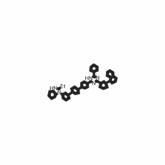 CCC1Nc2ccccc2N1c1cccc(-c2ccc(-c3ccc(C4N=C(c5cccc(-c6cccc7ccccc67)c5)N=C(c5ccccc5)N4)cc3)cc2)c1